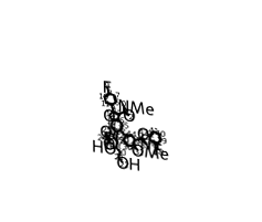 CNC(=O)c1c(-c2ccc(F)cc2)oc2cc(N(CC(O)CCO)S(C)(=O)=O)c(-c3ccc(OC)c(-c4nc5c(F)cccc5o4)c3)cc12